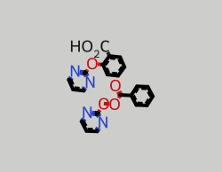 O=C(O)c1ccccc1Oc1ncccn1.O=C(OOc1ncccn1)c1ccccc1